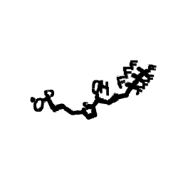 COC(=O)CCCc1ccc(C(O)CCCC(F)(F)C(F)(F)C(F)(F)F)s1